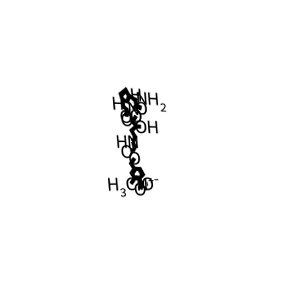 Cc1cc(COC(=O)CNCCC(O)C(=O)ON2C(=O)C[C@H]3C=C[C@H](C3)[C@@H](N)C2=O)ccc1[N+](=O)[O-]